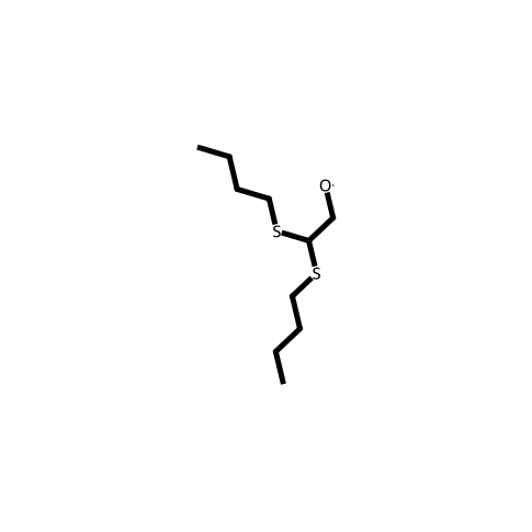 CCCCSC(C[O])SCCCC